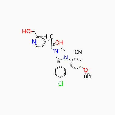 CCCOc1ccc(N2CCN(C[C@@](C)(O)c3ccnc(CO)c3)C[C@H]2c2ccc(Cl)cc2)c(C#N)c1